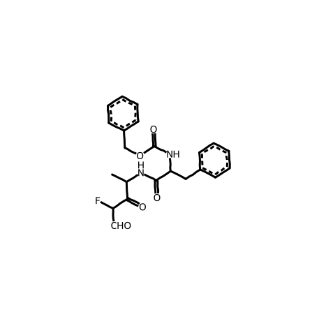 CC(NC(=O)C(Cc1ccccc1)NC(=O)OCc1ccccc1)C(=O)C(F)C=O